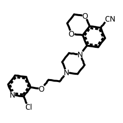 N#Cc1ccc(N2CCN(CCOc3cccnc3Cl)CC2)c2c1OCCO2